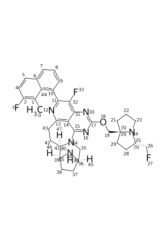 Cc1c(F)ccc2cccc(-c3nc4c5c(nc(OC[C@@]67CCCN6[C@H](CF)CC7)nc5c3F)N3C[C@H]5CC[C@H](N5)[C@H]3CC4)c12